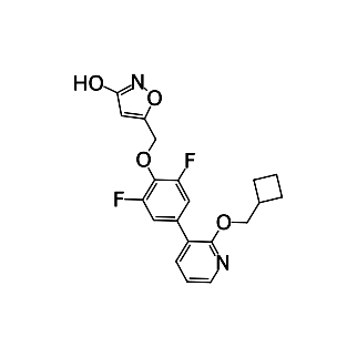 Oc1cc(COc2c(F)cc(-c3cccnc3OCC3CCC3)cc2F)on1